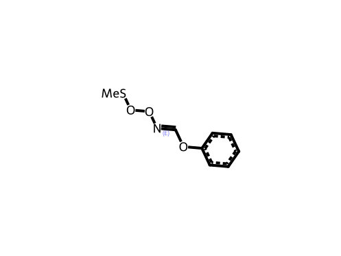 CSOO/N=C/Oc1ccccc1